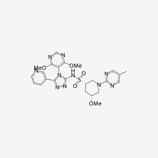 COc1ncnc(OC)c1-n1c(NS(=O)(=O)[C@H]2C[C@@H](OC)CN(c3ncc(C)cn3)C2)nnc1-c1cccnc1